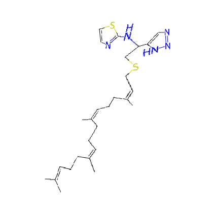 CC(C)=CCCC(C)=CCCC(C)=CCCC(C)=CCSCC(Nc1nccs1)c1cnn[nH]1